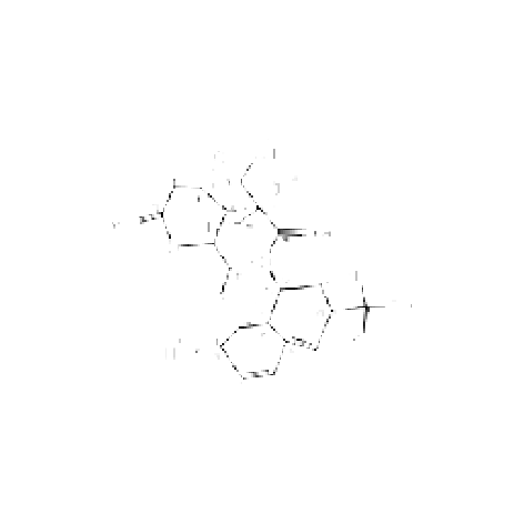 [2H]C([2H])([2H])[C@H]1C=C2C=C[C@H](C)[C@H](CCC3C[C@@H](O)CC(=O)O3)[C@H]2[C@@H](OC(=O)[C@@]([2H])(C)CC)C1